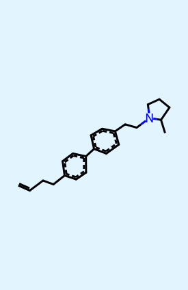 C=CCCc1ccc(-c2ccc(CCN3CCCC3C)cc2)cc1